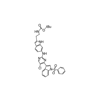 CC(C)(C)OC(=O)NCCc1cc2ccc(Nc3ncc(Cl)c(-c4cn(S(=O)(=O)c5ccccc5)c5ccccc45)n3)cc2[nH]1